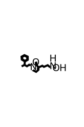 CC(CCN1CCC=C(CCCCNO)C1=O)c1ccccc1